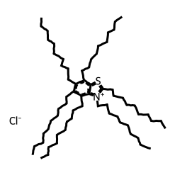 CCCCCCCCCCc1c(CCCCCCCCCC)c(CCCCCCCCCC)c2c(sc(CCCCCCCCCC)[n+]2CCCCCCCCCC)c1CCCCCCCCCC.[Cl-]